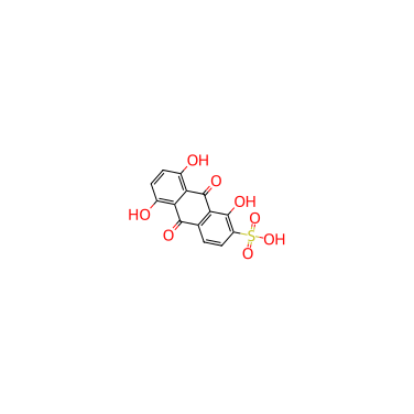 O=C1c2ccc(S(=O)(=O)O)c(O)c2C(=O)c2c(O)ccc(O)c21